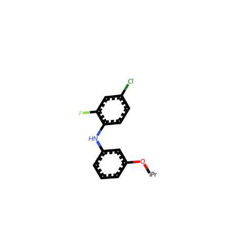 CC(C)Oc1cccc(Nc2ccc(Cl)cc2F)c1